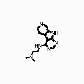 CN(C)CCNc1ncnc2[nH]c3cnccc3c12